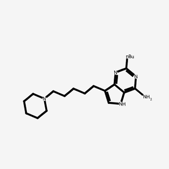 CCCCc1nc(N)c2[nH]cc(CCCCCN3CCCCC3)c2n1